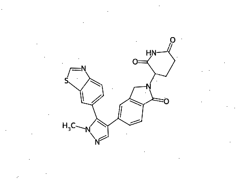 Cn1ncc(-c2ccc3c(c2)CN(C2CCC(=O)NC2=O)C3=O)c1-c1ccc2ncsc2c1